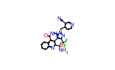 Cc1c(-c2c(C(N)=O)nc3ccccc3c2C(N)=O)c(C(F)(F)F)nn1Cc1ccncc1C#N